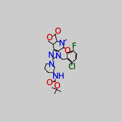 CN1C(=O)c2c(nc(N3CCC[C@@H](NC(=O)OC(C)(C)C)C3)n2Cc2cc(F)ccc2Cl)C2COC(=O)C21